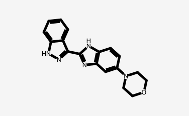 c1ccc2c(-c3nc4cc(N5CCOCC5)ccc4[nH]3)n[nH]c2c1